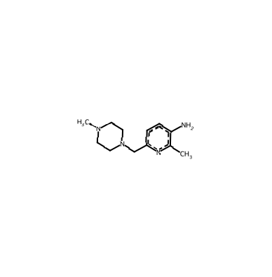 Cc1nc(CN2CCN(C)CC2)ccc1N